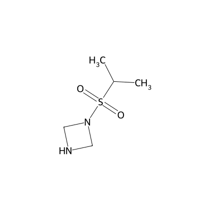 CC(C)S(=O)(=O)N1CNC1